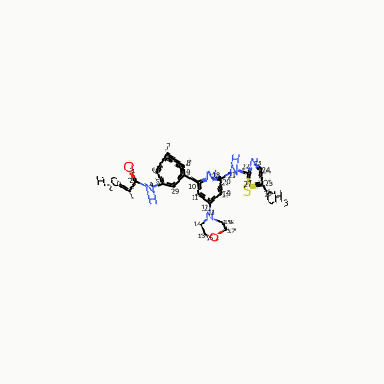 C=CC(=O)Nc1cccc(-c2cc(N3CCOCC3)cc(Nc3ncc(C)s3)n2)c1